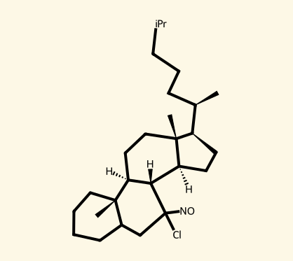 CC(C)CCC[C@@H](C)[C@H]1CC[C@H]2[C@H]3[C@H](CC[C@]12C)[C@@]1(C)CCCCC1CC3(Cl)N=O